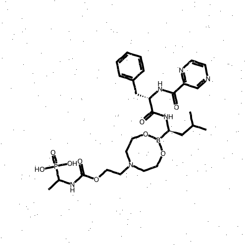 CC(C)C[C@H](NC(=O)[C@H](Cc1ccccc1)NC(=O)c1cnccn1)B1OCCN(CCOC(=O)NC(C)P(=O)(O)O)CCO1